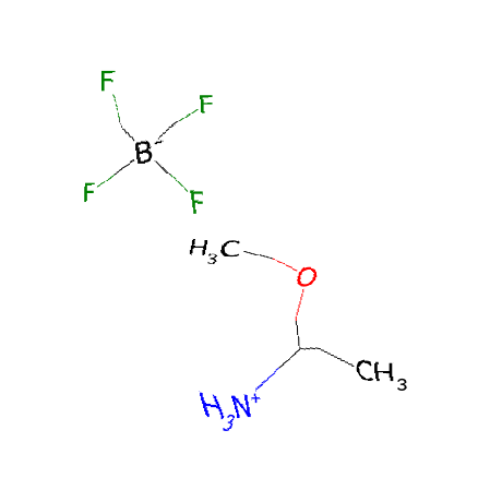 COC(C)[NH3+].F[B-](F)(F)F